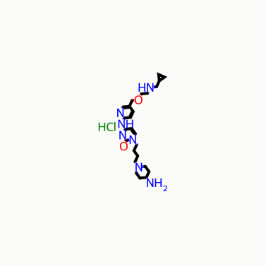 Cl.NC1CCN(CCCCn2ccc(Nc3ccc(COCCNCC4CC4)cn3)nc2=O)CC1